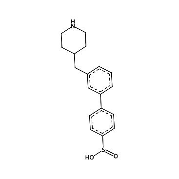 O=S(O)c1ccc(-c2cccc(CC3CCNCC3)c2)cc1